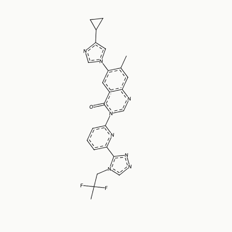 Cc1cc2ncn(-c3cccc(-c4nncn4CC(C)(F)F)n3)c(=O)c2cc1-n1cnc(C2CC2)c1